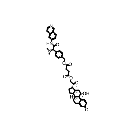 CN(C)C(C(=O)Nc1ccc2cnccc2c1)c1ccc(COC(=O)CCC(=O)OCC(=O)[C@H]2CCC3[C@@H]4CCC5=CC(=O)C=C[C@]5(C)C4[C@@H](O)C[C@@]32C)cc1